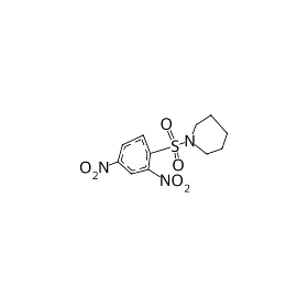 O=[N+]([O-])c1ccc(S(=O)(=O)N2CCCCC2)c([N+](=O)[O-])c1